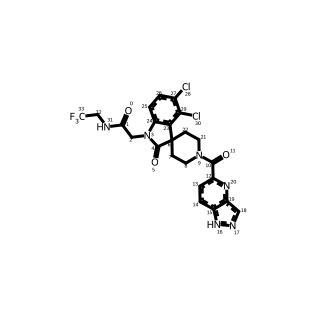 O=C(CN1C(=O)C2(CCN(C(=O)c3ccc4[nH]ncc4n3)CC2)c2c1ccc(Cl)c2Cl)NCC(F)(F)F